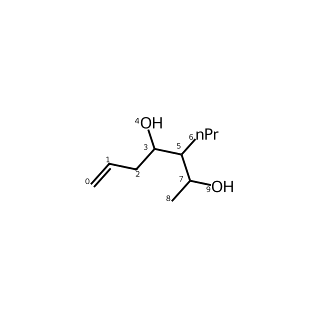 C=CCC(O)C(CCC)C(C)O